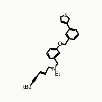 CCN(CC=CC#CC(C)(C)C)Cc1cccc(OCc2cccc(C3=CCSC3)c2)c1